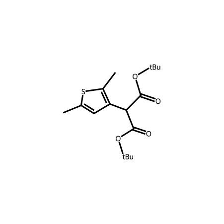 Cc1cc(C(C(=O)OC(C)(C)C)C(=O)OC(C)(C)C)c(C)s1